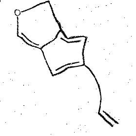 C=CCC1=CC2=COCC2=C1